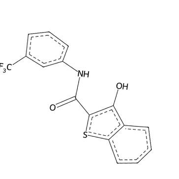 O=C(Nc1cccc(C(F)(F)F)c1)c1sc2ccccc2c1O